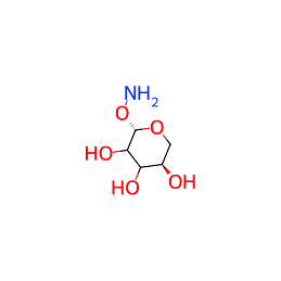 NO[C@@H]1OC[C@@H](O)C(O)C1O